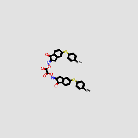 CC(C)c1ccc(Sc2ccc3c(c2)C/C(=N\OC(=O)C(=O)O/N=C2\Cc4cc(Sc5ccc(C(C)C)cc5)ccc4C2=O)C3=O)cc1